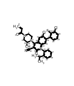 C=CC(=O)N1CCN(c2c(C#N)c(=O)n(-c3ccccc3C(C)C)c3cc(-c4cccc(Cl)c4F)c(Cl)cc23)[C@@H](C)C1